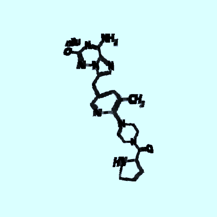 CCCCOc1nc(N)c2ncc(Cc3cnc(N4CCN(C(=O)C5CCCN5)CC4)c(C)c3)n2n1